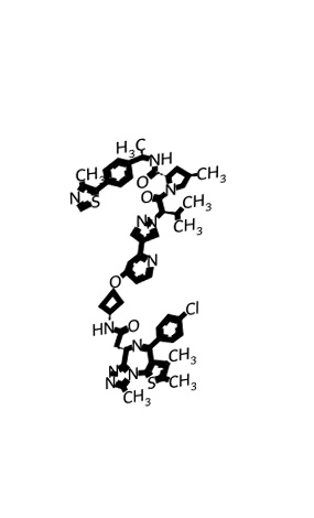 Cc1ncsc1-c1ccc([C@H](C)NC(=O)[C@@H]2C[C@@H](C)CN2C(=O)[C@@H](C(C)C)n2cc(-c3cc(O[C@H]4C[C@@H](NC(=O)C[C@@H]5N=C(c6ccc(Cl)cc6)c6c(sc(C)c6C)-n6c(C)nnc65)C4)ccn3)cn2)cc1